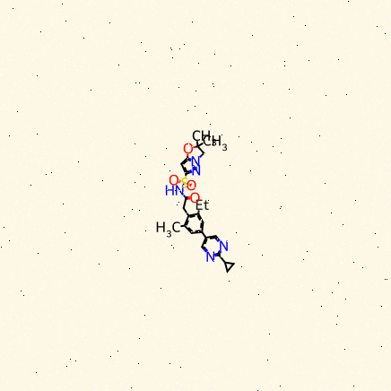 CCc1cc(-c2cnc(C3CC3)nc2)cc(C)c1CC(=O)NS(=O)(=O)c1cc2n(n1)CC(C)(C)O2